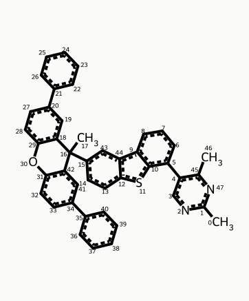 Cc1ncc(-c2cccc3c2sc2ccc(C4(C)c5cc(-c6ccccc6)ccc5Oc5ccc(-c6ccccc6)cc54)cc23)c(C)n1